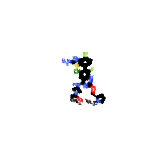 C=CC(=O)N1CC(Nc2nc(OC[C@@H]3CCCN3C)nc3c(F)c(-c4ccc(F)c5nc(N)sc45)c(Cl)cc23)C1